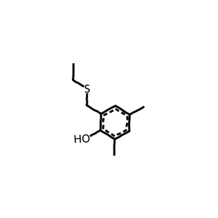 CCSCc1cc(C)cc(C)c1O